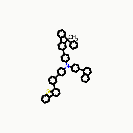 CC1(c2ccccc2)c2ccccc2-c2ccc(-c3ccc(N(c4ccc(-c5cccc(-c6cccc7c6sc6ccccc67)c5)cc4)c4ccc(-c5cccc6ccccc56)cc4)cc3)cc21